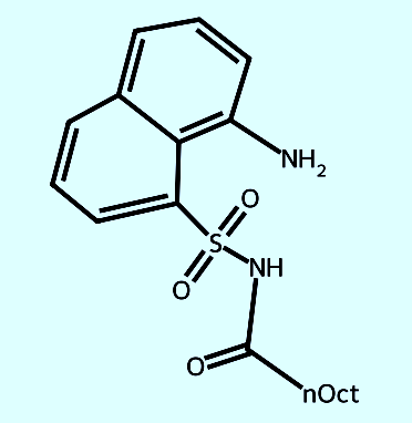 CCCCCCCCC(=O)NS(=O)(=O)c1cccc2cccc(N)c12